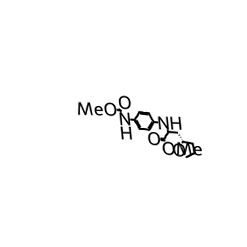 COC(=O)Nc1ccc(NC(C[C@@H]2CCCO2)C(=O)OC)cc1